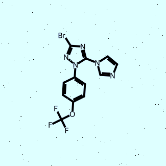 FC(F)(F)Oc1ccc(-n2nc(Br)nc2-n2ccnc2)cc1